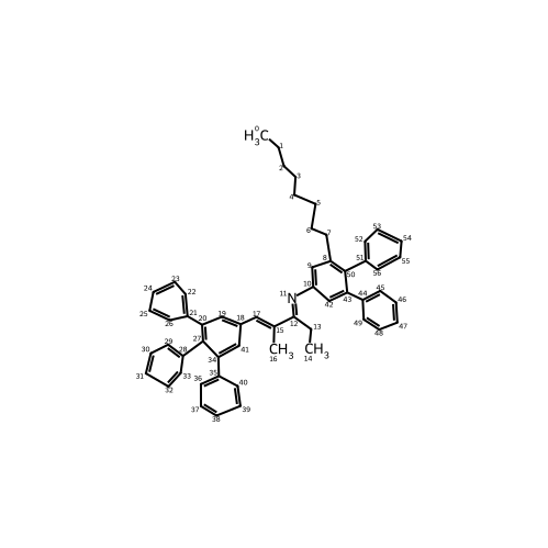 CCCCCCCCc1cc(N=C(CC)C(C)=Cc2cc(-c3ccccc3)c(-c3ccccc3)c(-c3ccccc3)c2)cc(-c2ccccc2)c1-c1ccccc1